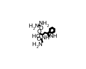 NC(N)=O.NCC(=O)NC(Cc1c[nH]c2ccccc12)C(=O)O